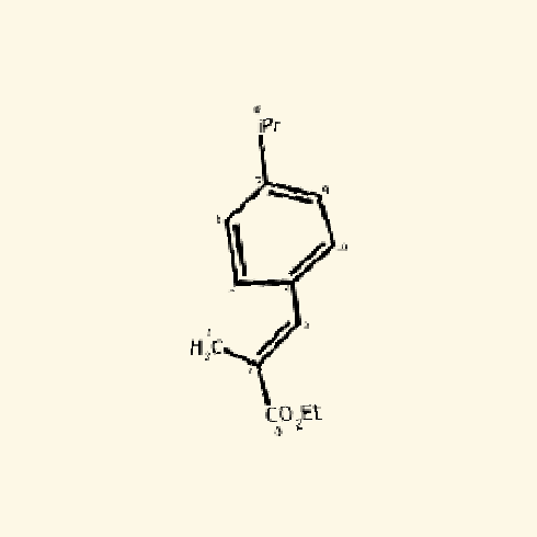 CCOC(=O)C(C)=Cc1ccc(C(C)C)cc1